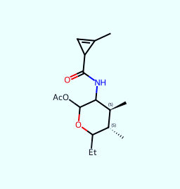 CCC1OC(OC(C)=O)C(NC(=O)C2C=C2C)[C@@H](C)[C@@H]1C